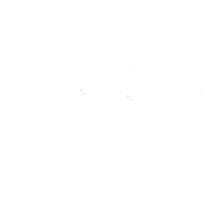 O=C(c1ccc(F)cc1)N(c1ccccc1)C1CCN(CCC2CCOc3ccccc32)CC1